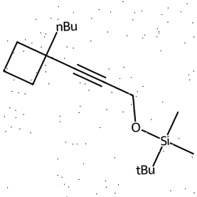 CCCCC1(C#CCO[Si](C)(C)C(C)(C)C)CCC1